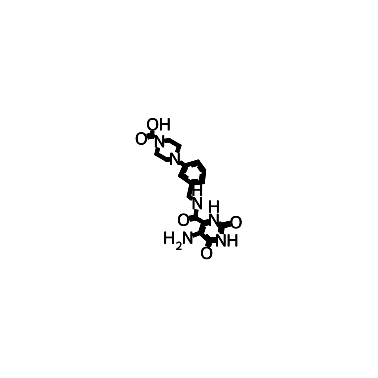 Nc1c(C(=O)NCc2cccc(N3CCN(C(=O)O)CC3)c2)[nH]c(=O)[nH]c1=O